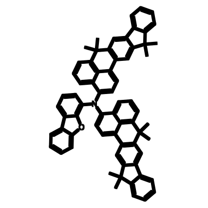 CC1(C)c2ccccc2-c2cc3c(cc21)-c1ccc(N(c2ccc4c5c(cccc25)C(C)(C)c2cc5c(cc2-4)C(C)(C)c2ccccc2-5)c2cccc4c2oc2ccccc24)c2cccc(c12)C3(C)C